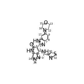 C[C@H](Nc1c(-c2nc3ccc(N4CCOCC4)cc3[nH]2)c(=O)[nH]c2cn(C)nc12)c1cscn1